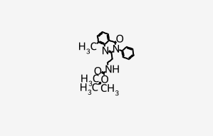 Cc1cccc2c(=O)n(-c3ccccc3)c(CCNC(=O)OC(C)(C)C)nc12